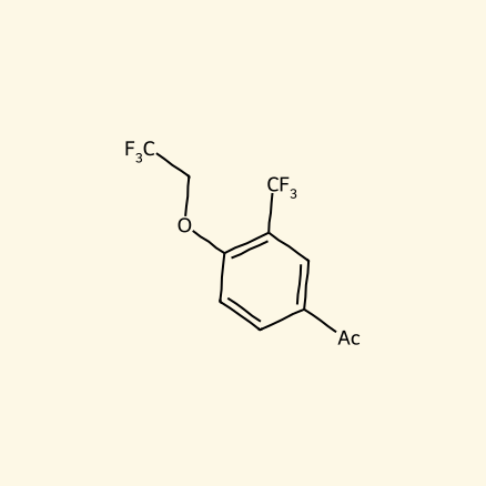 CC(=O)c1ccc(OCC(F)(F)F)c(C(F)(F)F)c1